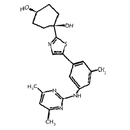 Cc1cc(Nc2nc(C)cc(C)n2)cc(-c2cnc([C@]3(O)CC[C@@H](O)CC3)s2)c1